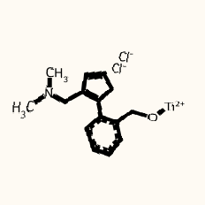 CN(C)CC1=C(c2ccccc2C[O][Ti+2])CC=C1.[Cl-].[Cl-]